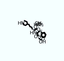 Br.Br.CCOC(=O)[C@@H](CCCCC1CCNCC1)N[C@H]1CSc2ccccc2N(CC(=O)O)C1=O